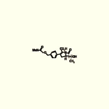 CNC(=O)COCc1ccc(C2=C(C(=O)O)N3C(=O)[C@H]([C@@H](C)O)[C@H]3C2)cc1